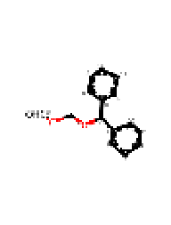 O=COCOC(c1ccccc1)c1ccccc1